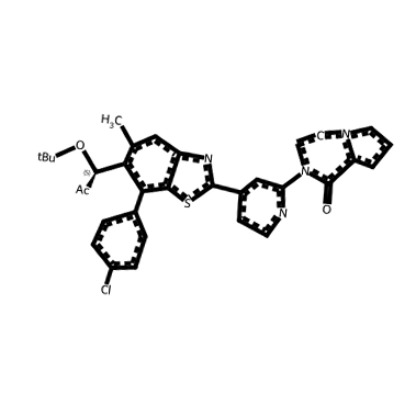 CC(=O)[C@@H](OC(C)(C)C)c1c(C)cc2nc(-c3ccnc(-n4ccn5cccc5c4=O)c3)sc2c1-c1ccc(Cl)cc1